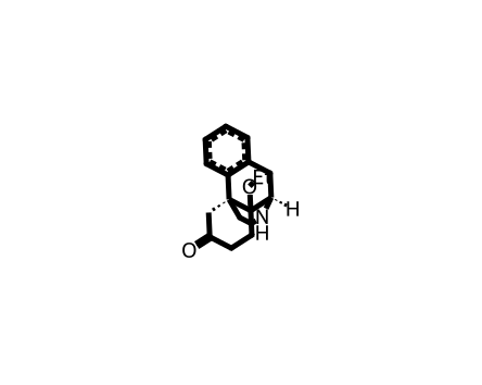 CCOC12CCC(=O)C[C@@]13CCN[C@@H]2Cc1ccccc13